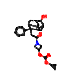 O=C(OC1CC1)OC1CN(C(=O)CC2(c3ccccc3)C3CC4CC2CC(C3)C4O)C1